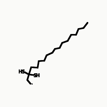 [CH2]CC(S)(S)CCCCCCCCCCCCCCC